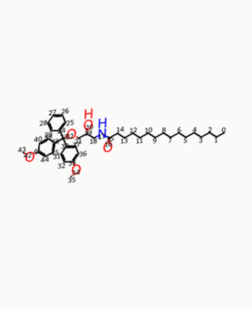 CCCCCCCCCCCCCCCC(=O)NCC(O)COC(c1ccccc1)(c1ccc(OC)cc1)c1ccc(OC)cc1